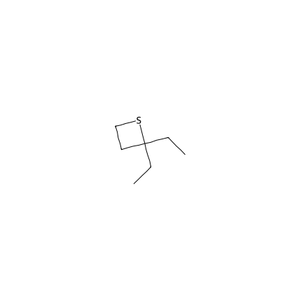 CCC1(CC)CCS1